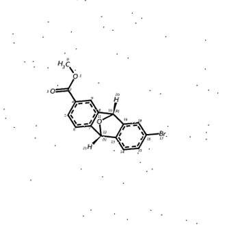 COC(=O)c1ccc2c(c1)[C@H]1O[C@@H]2c2ccc(Br)cc21